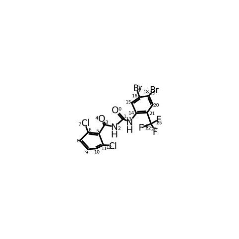 O=C(NC(=O)c1c(Cl)cccc1Cl)Nc1cc(Br)c(Br)cc1C(F)(F)F